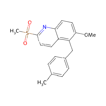 COc1ccc2nc(S(C)(=O)=O)ccc2c1Cc1ccc(C)cc1